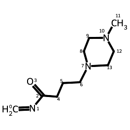 C=NC(=O)CCCN1CCN(C)CC1